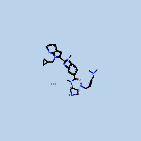 CN(C)C/C=C/CN[C@@H]1CNC[C@H]1N(C)C(=O)c1ccc2c(c1)nc(-c1cc3cccnc3n1CC1CC1)n2C.Cl